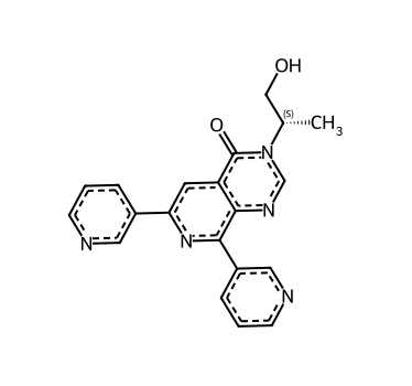 C[C@@H](CO)n1cnc2c(-c3cccnc3)nc(-c3cccnc3)cc2c1=O